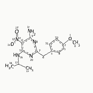 COc1ccc(Cc2nc(N)c([N+](=O)[O-])c(NC(C)C)n2)cc1